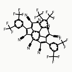 N#CC(C#N)=C1C(c2cc(C(F)(F)F)cc(C(F)(F)F)c2)=C(C#N)c2c(C#N)c3c(c(-c4ccc(C(F)(F)F)c(C(F)(F)F)c4)c21)C(=C(C#N)C#N)C(c1cc(C(F)(F)F)cc(C(F)(F)F)c1)=C3C#N